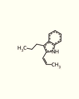 C/C=C\c1[nH]c2ccccc2c1CCC